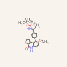 CC[C@H](NC(=O)OC(C)(C)C)c1ccc(-c2c(OC)ccc3[nH]c(=O)c4sccc4c23)cc1